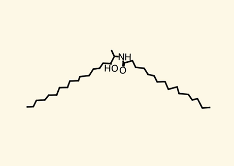 CCCCCCCCCCCCCCCC(=O)NC(C)C(O)CCCCCCCCCCCCCCC